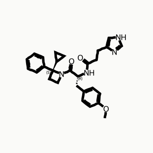 COc1ccc(C[C@@H](NC(=O)CCc2c[nH]cn2)C(=O)N2CC[C@@]2(c2ccccc2)C2CC2)cc1